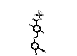 CS(=O)(=O)NC(=O)c1cc(F)c(COc2ccc(Cl)c(C#N)c2)cc1F